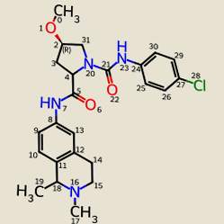 CO[C@@H]1CC(C(=O)Nc2ccc3c(c2)CCN(C)C3C)N(C(=O)Nc2ccc(Cl)cc2)C1